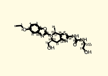 CCOc1ccc2oc(N3[C@H](CO)Cc4nc(NC(=O)N[C@H](C)CO)sc4[C@@H]3C)nc2c1